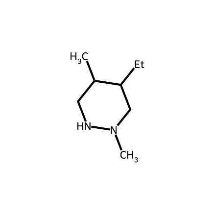 CCC1CN(C)NCC1C